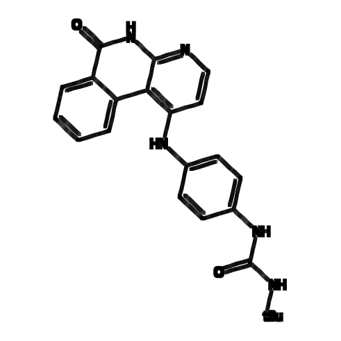 CC(C)(C)NC(=O)Nc1ccc(Nc2ccnc3[nH]c(=O)c4ccccc4c23)cc1